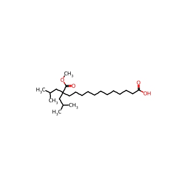 COC(=O)C(CCCCCCCCCCCC(=O)O)(CC(C)C)CC(C)C